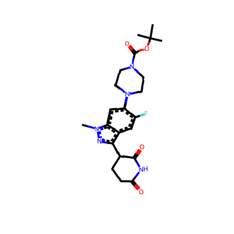 Cn1nc(C2CCC(=O)NC2=O)c2cc(F)c(N3CCN(C(=O)OC(C)(C)C)CC3)cc21